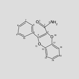 NC(=O)C1=C(c2ccccc2)Oc2ccccc2O1